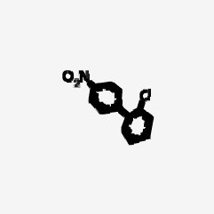 O=[N+]([O-])c1ccc(-c2ccccc2Cl)cc1